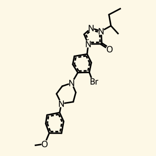 CCC(C)n1ncn(-c2ccc(N3CCN(c4ccc(OC)cc4)CC3)c(Br)c2)c1=O